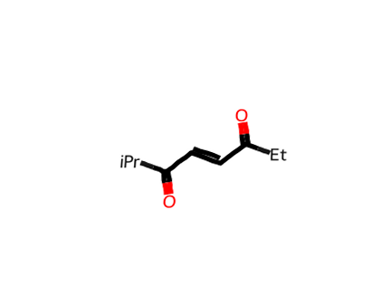 CCC(=O)/C=C/C(=O)C(C)C